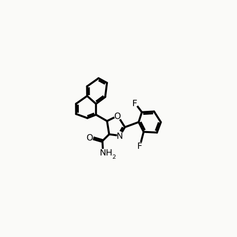 NC(=O)C1N=C(c2c(F)cccc2F)OC1c1cccc2ccccc12